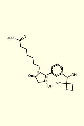 CCCC1(C(O)c2cccc([C@H]3[C@H](O)CC(=O)[C@@H]3CCCCCCC(=O)OC)c2)CCC1